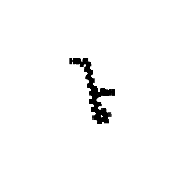 O=C(O)CCCCCCCCCCCCc1ccccc1.[NaH].[SeH2]